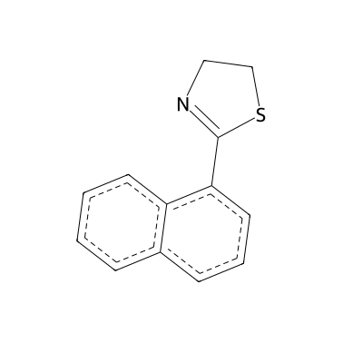 c1ccc2c(C3=NCCS3)cccc2c1